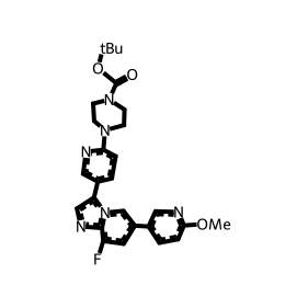 COc1ccc(-c2cc(F)c3ncc(-c4ccc(N5CCN(C(=O)OC(C)(C)C)CC5)nc4)n3c2)cn1